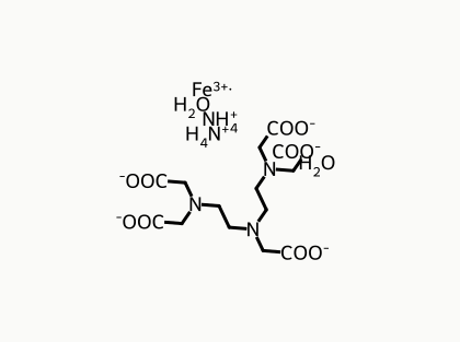 O.O.O=C([O-])CN(CCN(CC(=O)[O-])CC(=O)[O-])CCN(CC(=O)[O-])CC(=O)[O-].[Fe+3].[NH4+].[NH4+]